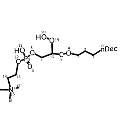 CCCCCCCCCCCCCOCC(COP(=O)(O)OCC[N+](C)(C)C)OO